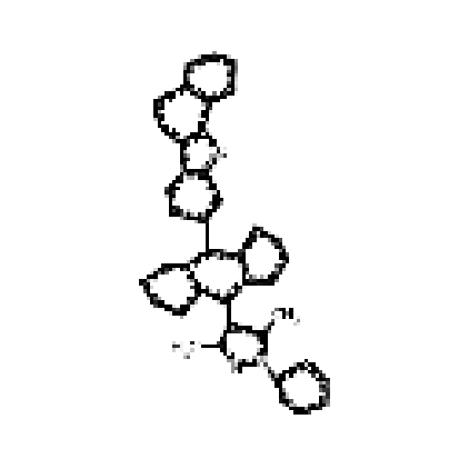 Cc1nn(-c2ccccc2)c(C)c1-c1c2ccccc2c(-c2ccc3c(c2)oc2c4ccccc4ccc32)c2ccccc12